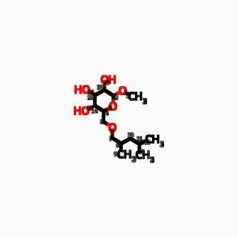 CO[C@H]1OC(COCC(C)CC(C)C)[C@@H](O)C(O)C1O